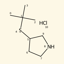 CC(C)(C)SC1CCNC1.Cl